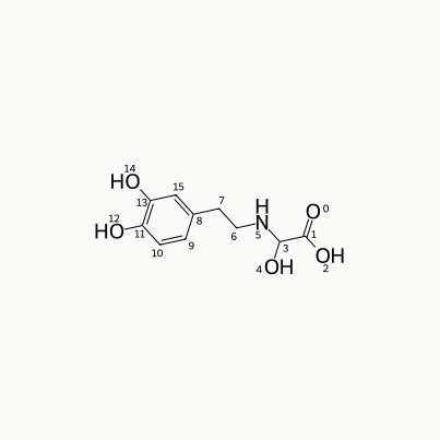 O=C(O)C(O)NCCc1ccc(O)c(O)c1